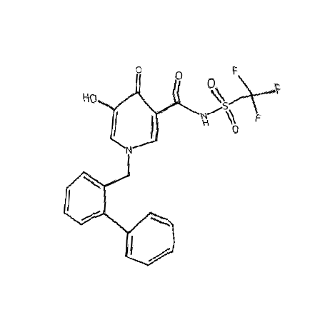 O=C(NS(=O)(=O)C(F)(F)F)c1cn(Cc2ccccc2-c2ccccc2)cc(O)c1=O